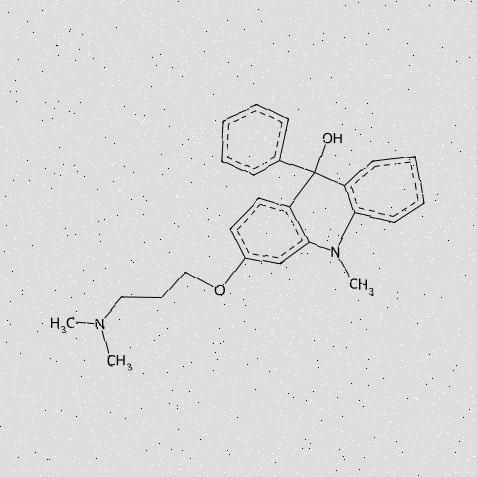 CN(C)CCCOc1ccc2c(c1)N(C)c1ccccc1C2(O)c1ccccc1